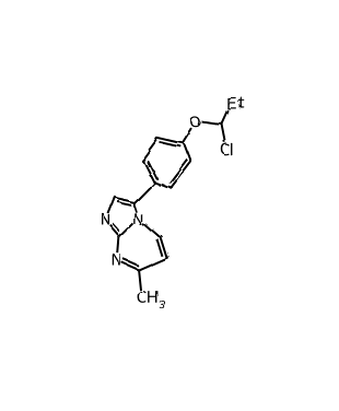 CCC(Cl)Oc1ccc(-c2cnc3nc(C)ccn23)cc1